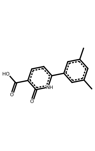 Cc1cc(C)cc(-c2ccc(C(=O)O)c(=O)[nH]2)c1